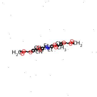 C=CC(=O)OCCCCOc1ccc(/C(C)=C(\C#N)C(=O)Oc2ccc(/C(CC)=N/N=C(\CC)c3ccc(OC(=O)/C(C#N)=C(\C)c4ccc(OCCCCOC(=O)C=C)cc4)cc3)cc2)cc1